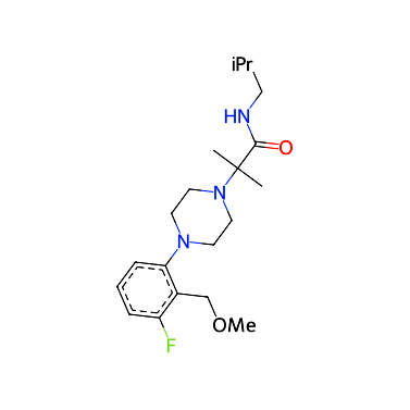 COCc1c(F)cccc1N1CCN(C(C)(C)C(=O)NCC(C)C)CC1